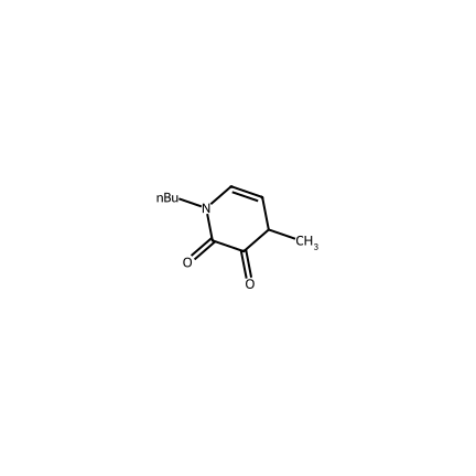 CCCCN1C=CC(C)C(=O)C1=O